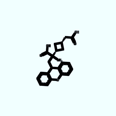 NC(CC1c2ccccc2Oc2ccccc21)(C(=O)O)[C@H]1C[C@@H](CC(=O)O)C1